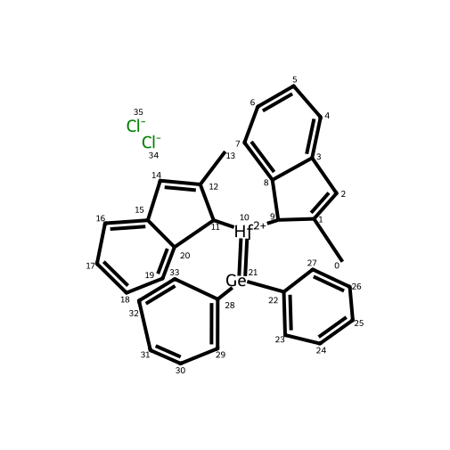 CC1=Cc2ccccc2[CH]1[Hf+2]([CH]1C(C)=Cc2ccccc21)=[Ge]([c]1ccccc1)[c]1ccccc1.[Cl-].[Cl-]